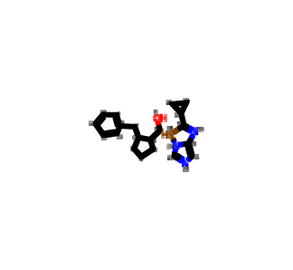 OC(C1CCCC1Cc1ccccc1)[SH]1C(C2CC2)=Nc2cncn21